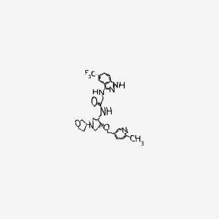 Cc1ccc(CO[C@H]2CN(C3CCOC3)CC2NC(=O)CNc2n[nH]c3ccc(C(F)(F)F)cc23)cn1